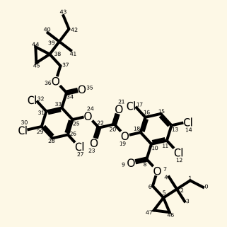 CCC(C)(C)C1(COC(=O)c2c(Cl)c(Cl)cc(Cl)c2OC(=O)C(=O)Oc2c(Cl)cc(Cl)c(Cl)c2C(=O)OCC2(C(C)(C)CC)CC2)CC1